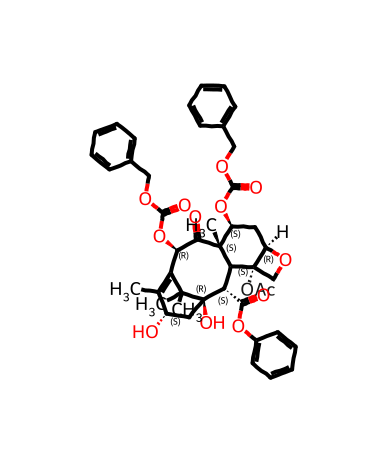 CC(=O)O[C@@]12CO[C@@H]1C[C@H](OC(=O)OCc1ccccc1)[C@@]1(C)C(=O)[C@H](OC(=O)OCc3ccccc3)C3=C(C)[C@@H](O)C[C@@](O)([C@@H](C(=O)Oc4ccccc4)C12)C3(C)C